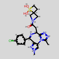 Cc1nnc2n1-c1cn(C)nc1C(c1ccc(Cl)cc1)=NC2CC(=O)N1CC2(CCS2(O)O)C1